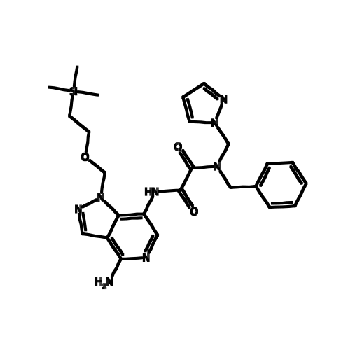 C[Si](C)(C)CCOCn1ncc2c(N)ncc(NC(=O)C(=O)N(Cc3ccccc3)Cn3cccn3)c21